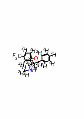 [2H]c1c([2H])c([2H])c(C([2H])(Oc2c([2H])c([2H])c(C(F)(F)F)c([2H])c2[2H])C([2H])([2H])CNC([2H])([2H])[2H])c([2H])c1[2H]